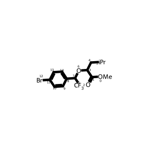 COC(=O)C(CC(C)C)OC(c1ccc(Br)cc1)C(F)(F)F